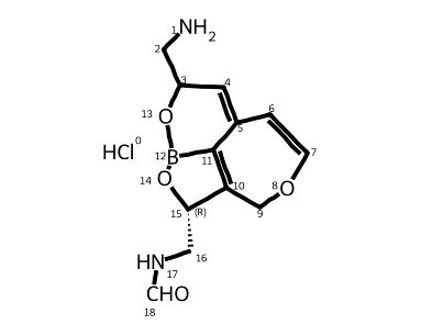 Cl.NCC1C=C2C=COCC3=C2B(O1)O[C@H]3CNC=O